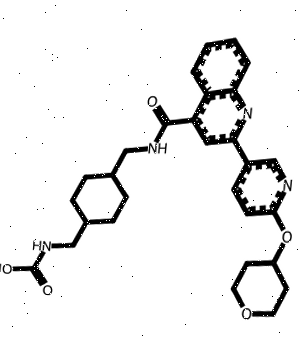 O=C(O)NCC1CCC(CNC(=O)c2cc(-c3ccc(OC4CCOCC4)nc3)nc3ccccc23)CC1